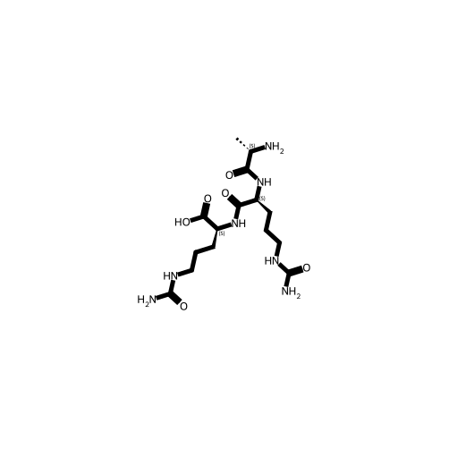 C[C@H](N)C(=O)N[C@@H](CCCNC(N)=O)C(=O)N[C@@H](CCCNC(N)=O)C(=O)O